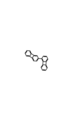 c1ccc2c(c1)-c1ccc(-c3cccc4c3-c3ccccc3-4)cc1-2